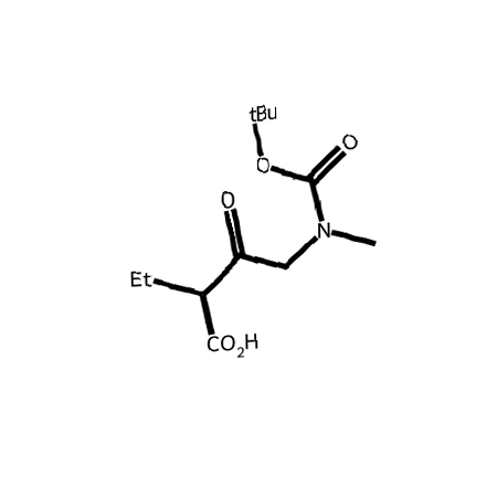 CCC(C(=O)O)C(=O)CN(C)C(=O)OC(C)(C)C